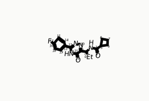 CCC(NC(=O)C1CCC1)c1nnc(-c2ccc(F)cc2)[nH]c1=O